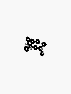 c1ccc(-c2cccc(-c3c(-c4ccc(-c5cc(-c6ccccn6)nc(-c6ccccn6)c5)cc4)sc4c3c(-c3ccccc3)nc3ccccc34)c2)cc1